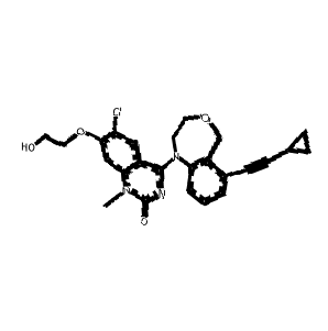 Cn1c(=O)nc(N2CCOCc3c(C#CC4CC4)cccc32)c2cc(Cl)c(OCCO)cc21